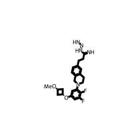 CO[C@H]1C[C@H](Oc2cc(F)c(F)c(N3CCc4cc(CCC(=N)NN=N)ccc4C3)c2)C1